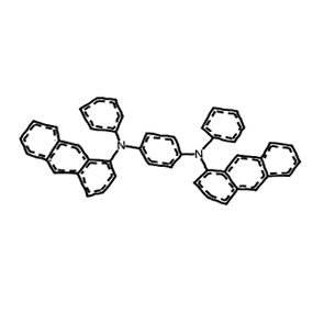 c1ccc(N(c2ccc(N(c3ccccc3)c3cccc4cc5ccccc5cc34)cc2)c2cccc3cc4ccccc4cc23)cc1